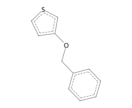 c1ccc(COc2ccsc2)cc1